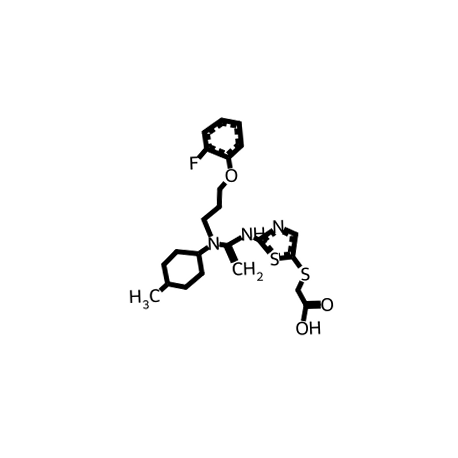 C=C(Nc1ncc(SCC(=O)O)s1)N(CCCOc1ccccc1F)C1CCC(C)CC1